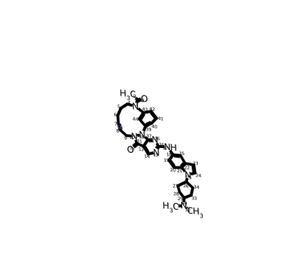 CC(=O)N1CCC/C=C\Cn2c(=O)c3cnc(Nc4ccc5c(ccn5C5CCC(N(C)C)CC5)c4)nc3n2-c2cccc1c2